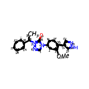 COc1cc(-n2cnn(C(C)c3ccccc3)c2=O)ccc1-c1cn[nH]c1